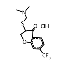 CN(C)CSC1COc2cc(C(F)(F)F)ccc2C1=O.Cl